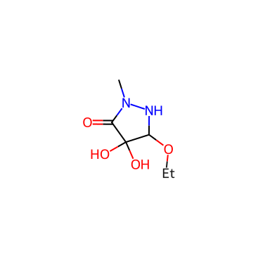 CCOC1NN(C)C(=O)C1(O)O